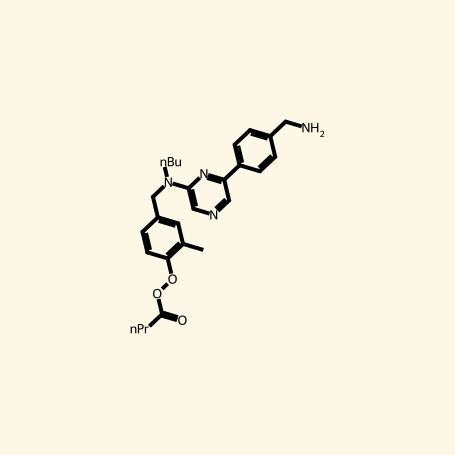 CCCCN(Cc1ccc(OOC(=O)CCC)c(C)c1)c1cncc(-c2ccc(CN)cc2)n1